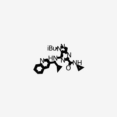 CCC(C)n1ncc2nc(C(=O)NC3CC3)nc(NC(c3cnc4ccccc4c3)C3CC3)c21